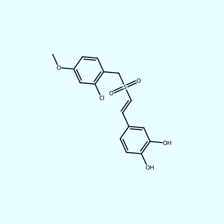 COc1ccc(CS(=O)(=O)C=Cc2ccc(O)c(O)c2)c(Cl)c1